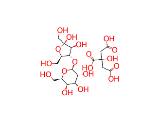 O=C(O)CC(O)(CC(=O)O)C(=O)O.OC[C@H]1O[C@@H](O[C@@H]2[C@@H](CO)O[C@](O)(CO)[C@H]2O)[C@H](O)[C@@H](O)[C@H]1O